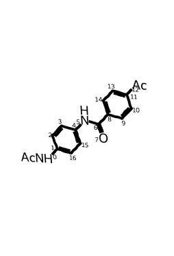 CC(=O)Nc1ccc(NC(=O)c2ccc(C(C)=O)cc2)cc1